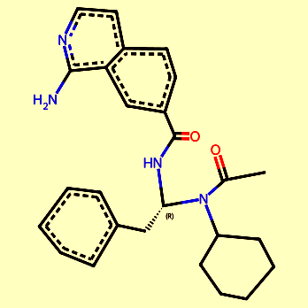 CC(=O)N(C1CCCCC1)[C@H](Cc1ccccc1)NC(=O)c1ccc2ccnc(N)c2c1